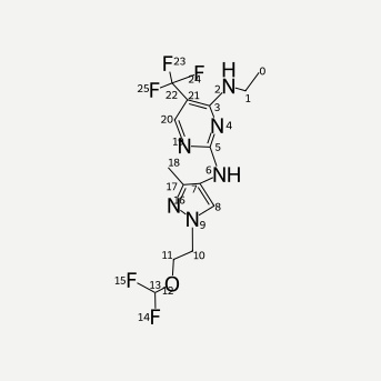 CCNc1nc(Nc2cn(CCOC(F)F)nc2C)ncc1C(F)(F)F